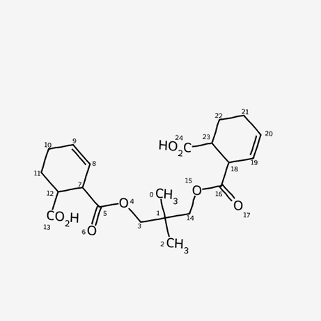 CC(C)(COC(=O)C1C=CCCC1C(=O)O)COC(=O)C1C=CCCC1C(=O)O